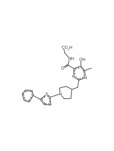 Cc1nc(CC2CCN(c3ccc(-c4ccccc4)s3)CC2)nc(C(=O)NCC(=O)O)c1O